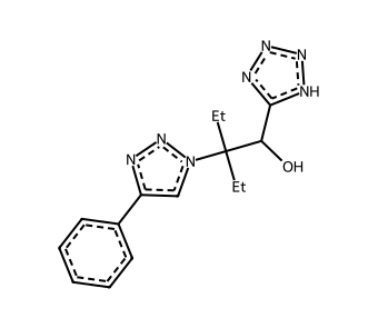 CCC(CC)(C(O)c1nnn[nH]1)n1cc(-c2ccccc2)nn1